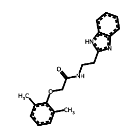 Cc1cccc(C)c1OCC(=O)NCCc1nc2ccccc2[nH]1